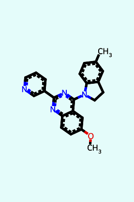 COc1ccc2nc(-c3cccnc3)nc(N3CCc4cc(C)ccc43)c2c1